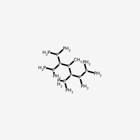 CP(P(P(P)P)P(P)P)P(P(P)P)P(P)P(P)P